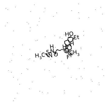 CCc1cc2c(cc1O)CC[C@H]1[C@@H]3[C@H](CCCC(=O)Nc4ncc(C)s4)CC(C(F)F)[C@@]3(C)CC[C@H]21